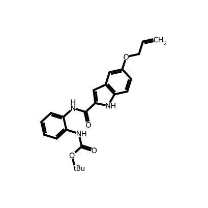 C=CCOc1ccc2[nH]c(C(=O)Nc3ccccc3NC(=O)OC(C)(C)C)cc2c1